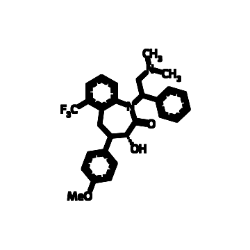 COc1ccc(C2Cc3c(cccc3C(F)(F)F)N(C(CN(C)C)c3ccccc3)C(=O)[C@@H]2O)cc1